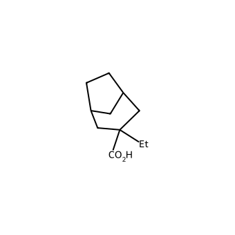 CCC1(C(=O)O)CC2CCC(C2)C1